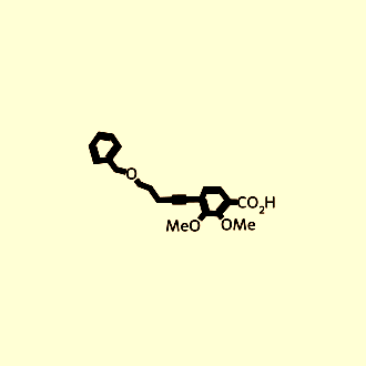 COc1c(C#CCCCOCc2ccccc2)ccc(C(=O)O)c1OC